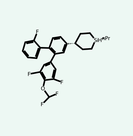 CCC[Si@H]1CC[C@H](c2ccc(-c3ccccc3F)c(-c3cc(F)c(OC(F)F)c(F)c3)c2)CC1